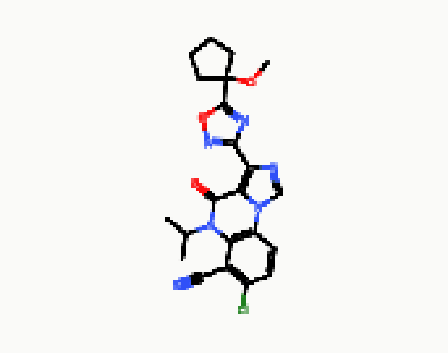 COC1(c2nc(-c3ncn4c3c(=O)n(C(C)C)c3c(C#N)c(Cl)ccc34)no2)CCCC1